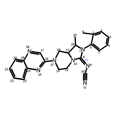 Cc1ccccc1N1/C(=N/C#N)N2CCN(c3cnc4ccccc4n3)CC2C1C